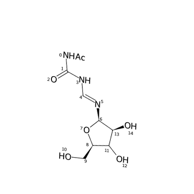 CC(=O)NC(=O)N/C=N/[C@@H]1O[C@H](CO)C(O)[C@@H]1O